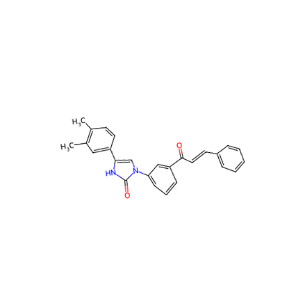 Cc1ccc(-c2cn(-c3cccc(C(=O)/C=C/c4ccccc4)c3)c(=O)[nH]2)cc1C